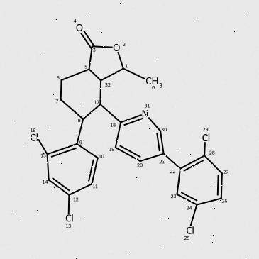 CC1OC(=O)C2CCC(c3ccc(Cl)cc3Cl)C(c3ccc(-c4cc(Cl)ccc4Cl)cn3)C12